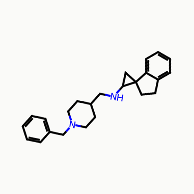 c1ccc(CN2CCC(CNC3CC34CCc3ccccc34)CC2)cc1